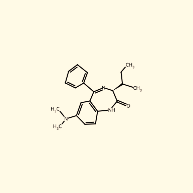 CCC(C)[C@@H]1N=C(c2ccccc2)c2cc(N(C)C)ccc2NC1=O